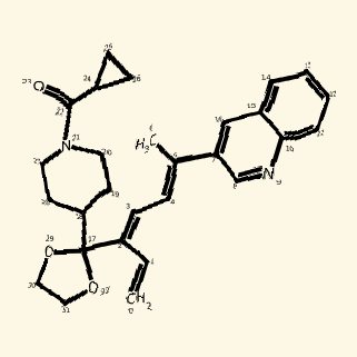 C=C/C(=C\C=C(/C)c1cnc2ccccc2c1)C1(C2CCN(C(=O)C3CC3)CC2)OCCO1